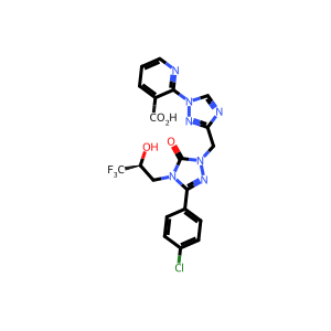 O=C(O)c1cccnc1-n1cnc(Cn2nc(-c3ccc(Cl)cc3)n(C[C@H](O)C(F)(F)F)c2=O)n1